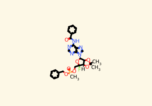 CC1(C)OC2[C@H](n3cnc4c(NC(=O)c5ccccc5)ncnc43)OC(F)(COP(C)(=O)OCc3ccccc3)[C@@H]2O1